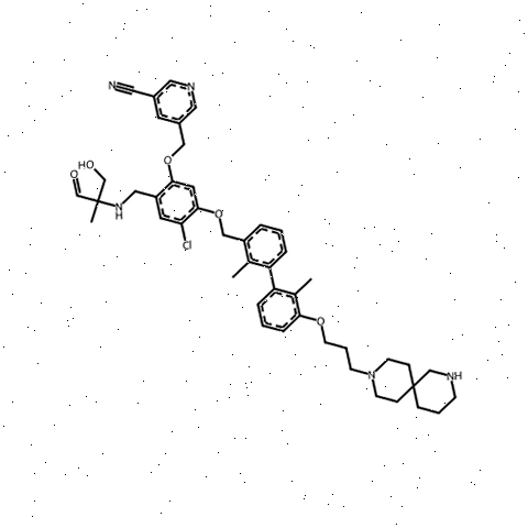 Cc1c(COc2cc(OCc3cncc(C#N)c3)c(CNC(C)(C=O)CO)cc2Cl)cccc1-c1cccc(OCCCN2CCC3(CCCNC3)CC2)c1C